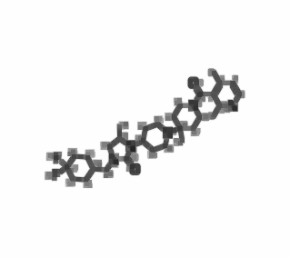 Cc1ccnc(C)c1C(=O)N1CCC(C)(N2CCC(N3C(=O)N(CC4CCC(F)(F)CC4)CC3C)CC2)CC1